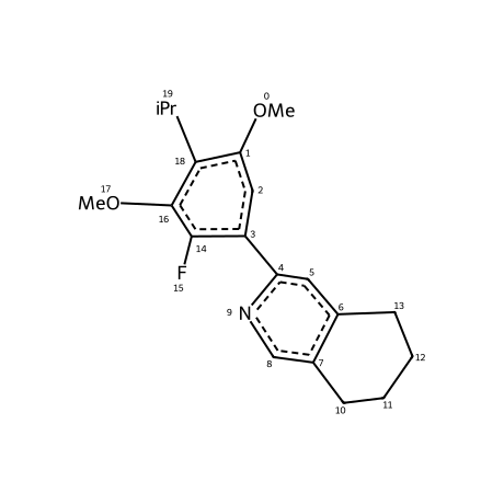 COc1cc(-c2cc3c(cn2)CCCC3)c(F)c(OC)c1C(C)C